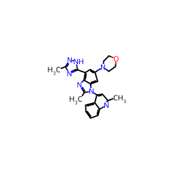 Cc1cc(-n2c(C)nc3c(-c4nc(C)n[nH]4)cc(N4CCOCC4)cc32)c2ccccc2n1